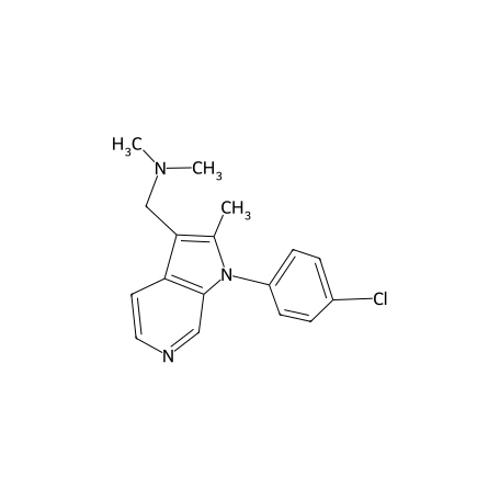 Cc1c(CN(C)C)c2ccncc2n1-c1ccc(Cl)cc1